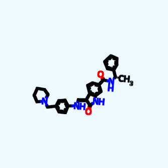 C[C@H](NC(=O)c1ccc2c(c1)NC(=O)C2=CNc1ccc(CN2CCCCC2)cc1)c1ccccc1